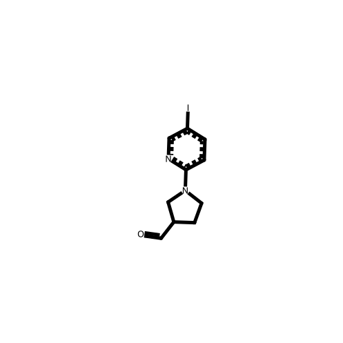 O=CC1CCN(c2ccc(I)cn2)C1